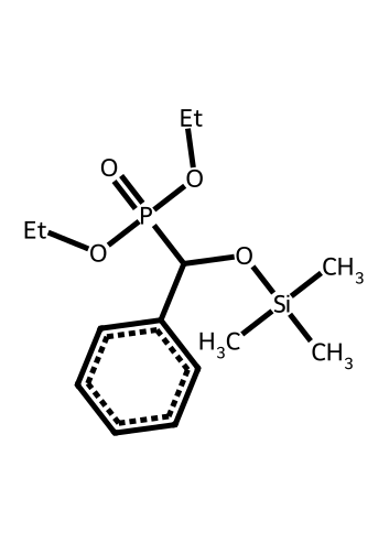 CCOP(=O)(OCC)C(O[Si](C)(C)C)c1ccccc1